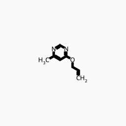 C=CCOc1cc(C)n[c]n1